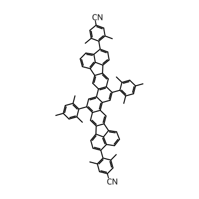 Cc1cc(C)c(-c2cc3c4cc5c(cc4c(-c4c(C)cc(C)cc4C)cc3c3cc4c(cc23)-c2ccc(-c3c(C)cc(C#N)cc3C)c3cccc-4c23)-c2ccc(-c3c(C)cc(C#N)cc3C)c3cccc-5c23)c(C)c1